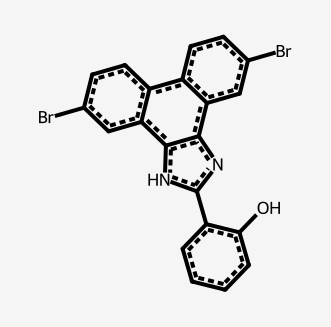 Oc1ccccc1-c1nc2c3cc(Br)ccc3c3ccc(Br)cc3c2[nH]1